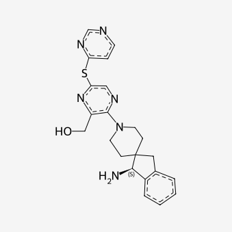 N[C@@H]1c2ccccc2CC12CCN(c1ncc(Sc3ccncn3)nc1CO)CC2